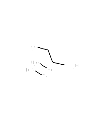 CCN.CCN.O=C(O)CCC(=O)O